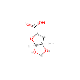 O=C(O)[C@@H]1C[C@H]2OCO[C@H]2O1